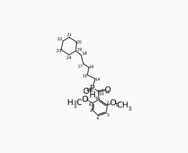 COc1cccc(OC)c1C(=O)[PH](=O)CCCCCC1CCCCC1